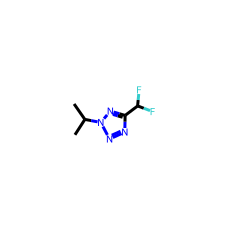 CC(C)n1nnc(C(F)F)n1